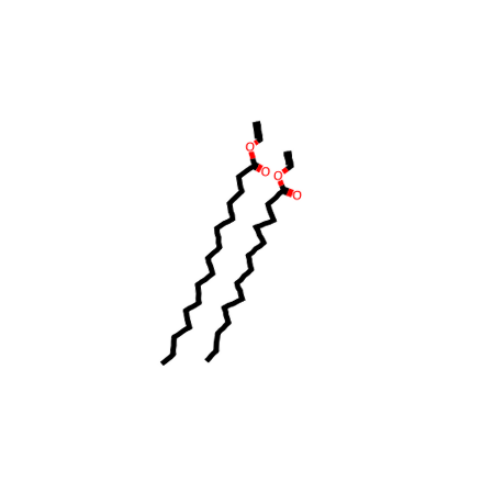 C=COC(=O)CCCCCCCCCCCCC.C=COC(=O)CCCCCCCCCCCCCCC